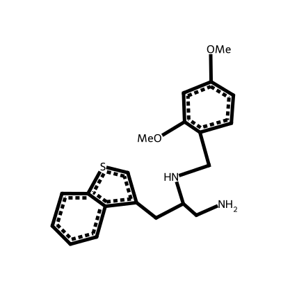 COc1ccc(CNC(CN)Cc2csc3ccccc23)c(OC)c1